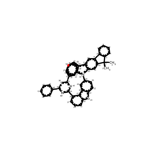 CC1(C)c2ccccc2-c2cc3c4ccccc4n(-c4ccc5sc6cccc(-c7nc(-c8ccccc8)nc(-c8ccccc8)n7)c6c5c4)c3cc21